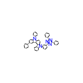 c1ccc(-c2ccc3c(c2)c2c4c5ccccc5n(-c5cccc(-c6nc(-c7ccccc7)nc(-c7ccccc7)n6)c5)c4ccc2n3-c2ccccc2)cc1